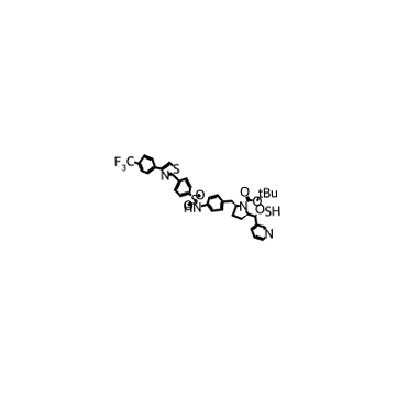 CC(C)(C)OC(=O)N1[C@H](Cc2ccc(NS(=O)(=O)c3ccc(-c4nc(-c5ccc(C(F)(F)F)cc5)cs4)cc3)cc2)CC[C@@H]1[C@H](OS)c1cccnc1